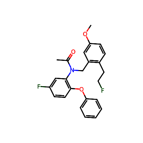 COc1ccc(CCF)c(CN(C(C)=O)c2cc(F)ccc2Oc2ccccc2)c1